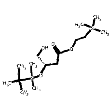 CC(C)(C)[Si](C)(C)O[C@H](CO)CC(=O)OCC[Si](C)(C)C